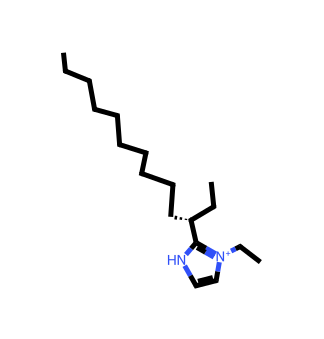 CCCCCCCCCC[C@H](CC)c1[nH]cc[n+]1CC